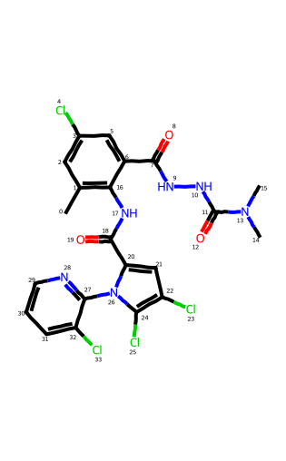 Cc1cc(Cl)cc(C(=O)NNC(=O)N(C)C)c1NC(=O)c1cc(Cl)c(Cl)n1-c1ncccc1Cl